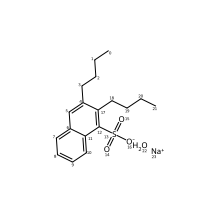 CCCCc1cc2ccccc2c(S(=O)(=O)[O-])c1CCCC.O.[Na+]